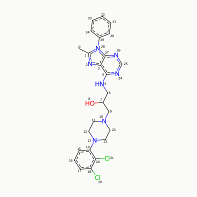 Cc1nc2c(NCC(O)CN3CCN(c4cccc(Cl)c4Cl)CC3)ncnc2n1-c1ccccc1